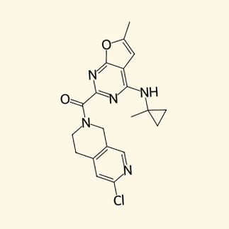 Cc1cc2c(NC3(C)CC3)nc(C(=O)N3CCc4cc(Cl)ncc4C3)nc2o1